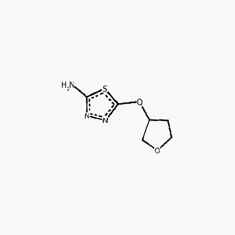 Nc1nnc(OC2CCOC2)s1